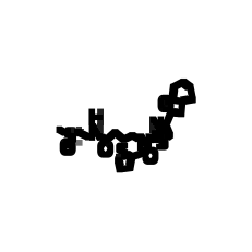 C[S+]([O-])CCNC(=O)CCCN(C(=O)c1cccs1)c1nc(-c2cc3ccccc3o2)cs1